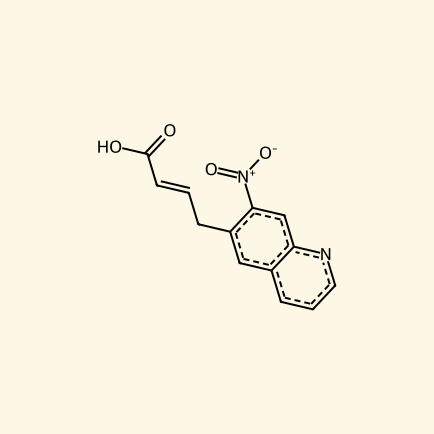 O=C(O)/C=C/Cc1cc2cccnc2cc1[N+](=O)[O-]